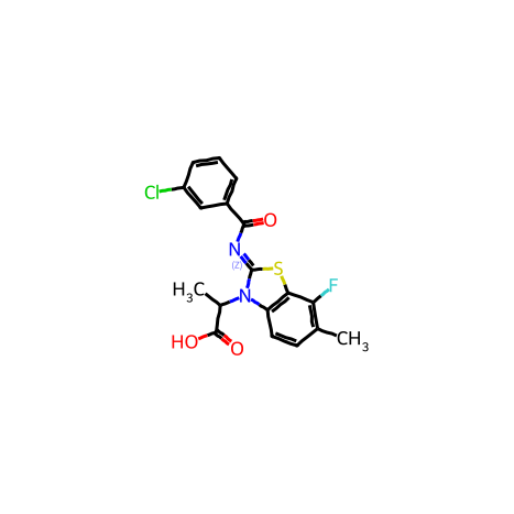 Cc1ccc2c(s/c(=N\C(=O)c3cccc(Cl)c3)n2C(C)C(=O)O)c1F